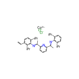 C=Cc1ccc(C(C)C)c(N=C(C)c2cccc(C(C)=Nc3c(C(C)C)cccc3C(C)C)n2)c1C(C)C.[Cl-].[Cl-].[Co+2]